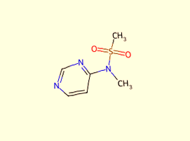 CN(c1ccncn1)S(C)(=O)=O